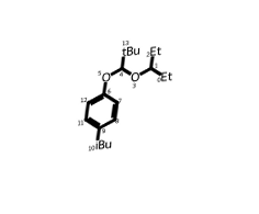 CCC(CC)OC(Oc1ccc(C(C)CC)cc1)C(C)(C)C